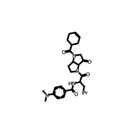 CC(C)CC(NC(=O)c1ccc(N(C)C)cc1)C(=O)N1CCC2C1C(=O)CN2C(=O)C1CC=CCC1